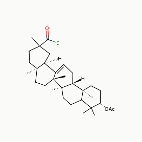 CC(=O)O[C@H]1CC[C@@]2(C)C(CC[C@]3(C)[C@@H]2CC=C2[C@@H]4CC(C)(C(=O)Cl)CC[C@]4(C)CC[C@]23C)C1(C)C